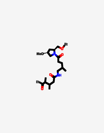 CCOC[C@@H]1C[C@@H](OC)CN1C(=O)CCC(C)CNC(=O)CC(C)C(C)C(=O)CC